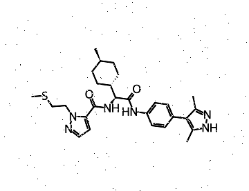 CSCCn1nccc1C(=O)N[C@H](C(=O)Nc1ccc(-c2c(C)n[nH]c2C)cc1)[C@H]1CC[C@H](C)CC1